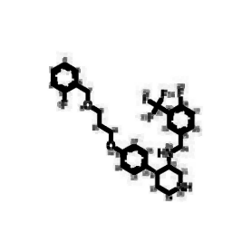 Fc1ccccc1COCCCOc1ccc([C@@H]2CCNC[C@@H]2NCc2ccc(F)c(C(F)(F)F)c2)cc1